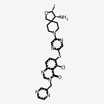 N[C@@H]1[C@H](I)OCC12CCN(c1cnc(Sc3ccc4ncn(Cc5cnccn5)c(=O)c4c3Cl)cn1)CC2